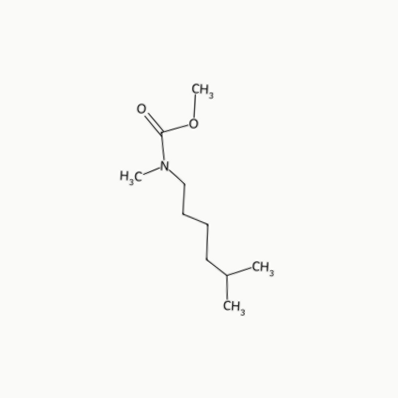 COC(=O)N(C)CCCCC(C)C